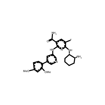 COc1ccc(-c2cncc(Nc3nc(N[C@@H]4CCCC[C@@H]4N)c(F)cc3C(N)=O)c2)c(OC)c1